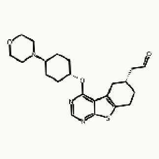 O=CC[C@@H]1CCc2sc3ncnc(O[C@H]4CC[C@H](N5CCOCC5)CC4)c3c2C1